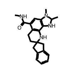 CNC(=O)c1cc2c(c3c1CCC1(Cc4ccccc4C1)N3)NC(C)N2C